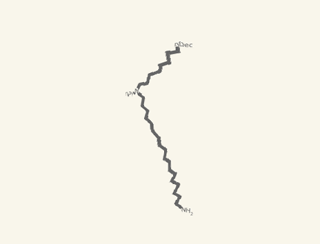 CCCCCCCCCCCCCCCCCCN(CCC)CCCCCCCCCCCCCCCCCCN